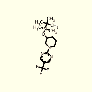 CC(C)(C)[Si](C)(C)OC1CCCN(c2ncc(C(F)(F)F)cn2)C1